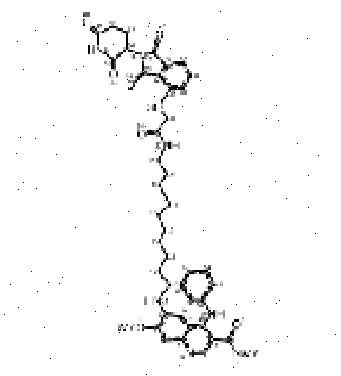 CNC(=O)c1cnc2cc(OC)c(NCCCCCCCCCCNC(=O)COc3cccc4c3C(=O)N(C3CCC(=O)NC3=O)C4=O)cc2c1Nc1ccccc1